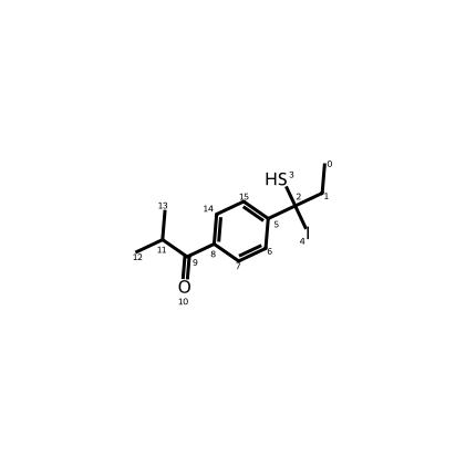 CCC(S)(I)c1ccc(C(=O)C(C)C)cc1